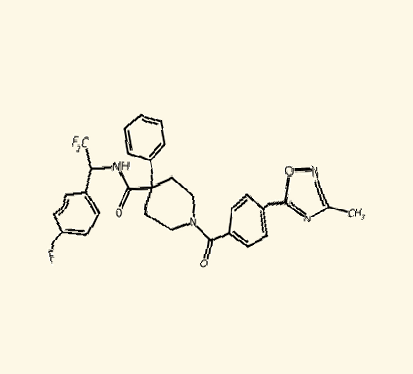 Cc1noc(-c2ccc(C(=O)N3CCC(C(=O)NC(c4ccc(F)cc4)C(F)(F)F)(c4ccccc4)CC3)cc2)n1